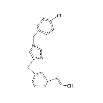 CC=Cc1cccc(Cc2cn(Cc3ccc(Cl)cc3)cn2)c1